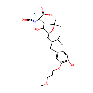 COCCCOc1cc(C[C@@H](C[C@H](OC(C)(C)C)[C@@H](O)C[C@@](C)(N=C=O)C(=O)O)C(C)C)ccc1O